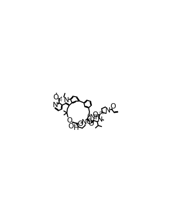 C=CC(=O)N1CC[C@H](C(=O)N(C)C(C(=O)N[C@H]2Cc3cccc(c3)-c3ccc4c(c3)c(c(-c3cccnc3[C@H](C)OC)n4CC)CC(C)(C)COC(=O)[C@@H]3CCCN(O3)C2=O)C(C)C)C1